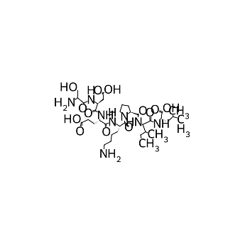 CC[C@H](C)[C@H](NC(=O)[C@@H]1CCCN1C(=O)[C@H](CCCCN)NC(=O)[C@H](CCC(=O)O)NC(=O)[C@H](CC(=O)O)NC(=O)[C@@H](N)CO)C(=O)N[C@@H](CC(C)C)C(=O)O